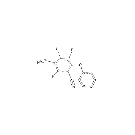 N#Cc1c(F)c(F)c(Oc2ccccc2)c(C#N)c1F